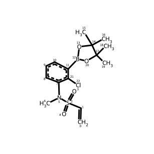 C=CS(=O)(=O)N(C)c1cccc(B2OC(C)(C)C(C)(C)O2)c1Cl